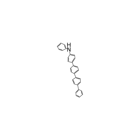 c1ccc(Nc2ccc(-c3ccc(-c4ccc(-c5ccccc5)cc4)cc3)cc2)cc1